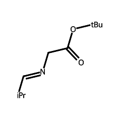 CC(C)/C=N/CC(=O)OC(C)(C)C